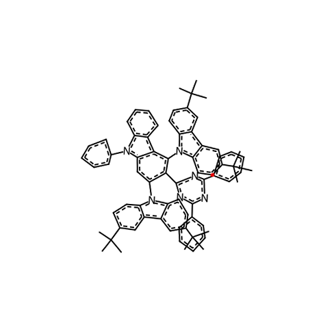 CC(C)(C)c1ccc2c(c1)c1cc(C(C)(C)C)ccc1n2-c1cc2c(c(-n3c4ccc(C(C)(C)C)cc4c4cc(C(C)(C)C)ccc43)c1-c1nc(-c3ccccc3)nc(-c3ccccc3)n1)c1ccccc1n2-c1ccccc1